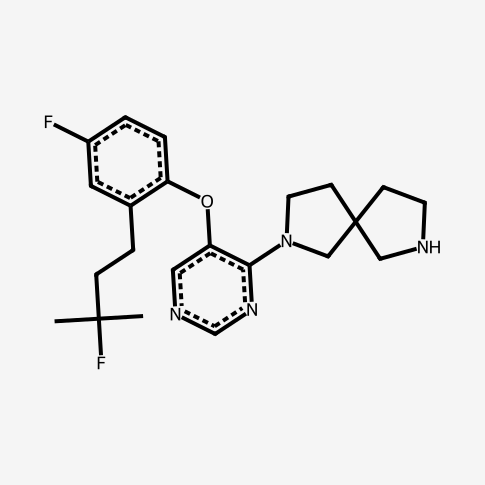 CC(C)(F)CCc1cc(F)ccc1Oc1cncnc1N1CCC2(CCNC2)C1